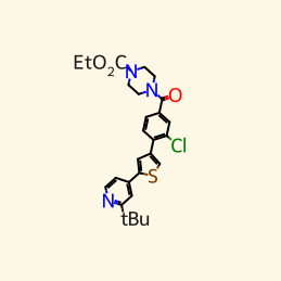 CCOC(=O)N1CCN(C(=O)c2ccc(-c3csc(-c4ccnc(C(C)(C)C)c4)c3)c(Cl)c2)CC1